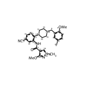 COc1ccc(F)cc1CN1CCN(c2ncc(C#N)cc2NC(=O)c2cn(C)nc2OC)CC1